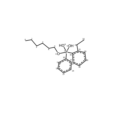 CCCCCCOP(O)(O)(c1ccccc1)c1ccccc1CC